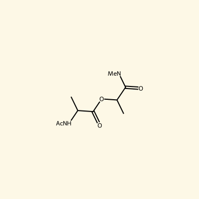 CNC(=O)C(C)OC(=O)C(C)NC(C)=O